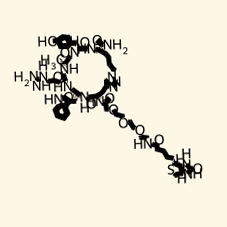 C[C@H]1NC(=O)[C@@H](CCCNC(=N)N)NC(=O)[C@@H](Cc2c[nH]c3ccccc23)NC(=O)[C@@H](NC(=O)COCCOCCOCCNC(=O)CCCC[C@H]2SC[C@H]3NC(=O)N[C@H]32)Cc2cn(nn2)CCCC[C@@H](C(N)=O)NC(=O)[C@@H](Cc2ccc(O)cc2)NC1=O